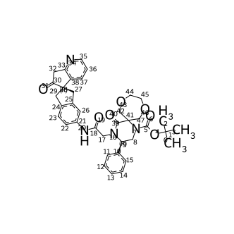 CC(C)(C)OC(=O)N1C[C@@H](c2ccccc2)N(CC(=O)Nc2ccc3c(c2)C[C@@]2(C3)C(=O)Cc3ncccc32)C(=O)C12COCCOC2